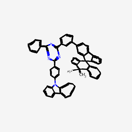 CC1(C)c2ccccc2C2(c3ccccc3-c3ccc(-c4cccc(-c5nc(-c6ccccc6)nc(-c6ccc(-n7c8ccccc8c8ccccc87)cc6)n5)c4)cc32)c2ccccc21